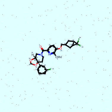 COc1nc(C(=O)N2CC[C@]3(c4cccc(F)c4)OCO[C@@H]3C2)ccc1OCC1CC2C(C1)C2(F)F